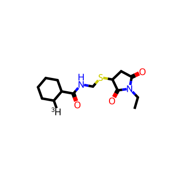 [3H]C1CCCCC1C(=O)NCSC1CC(=O)N(CC)C1=O